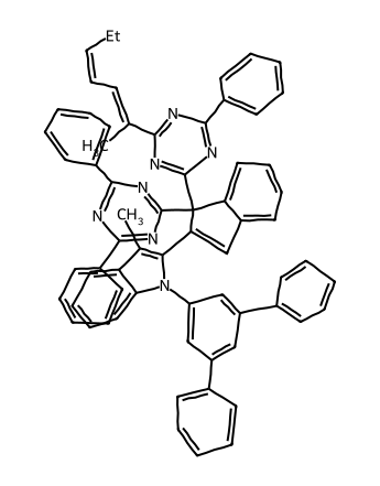 CC/C=C\C=C(/C)c1nc(-c2ccccc2)nc(C2(c3nc(-c4ccccc4)nc(-c4ccccc4)n3)C(c3c(C)c4ccccc4n3-c3cc(-c4ccccc4)cc(-c4ccccc4)c3)=Cc3ccccc32)n1